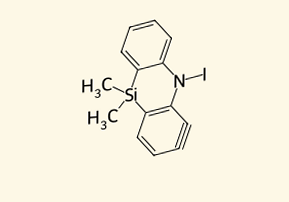 C[Si]1(C)c2ccc#cc2N(I)c2ccccc21